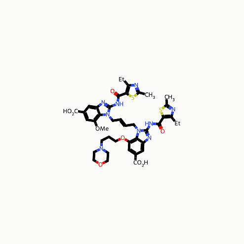 CCc1nc(C)sc1C(=O)Nc1nc2cc(C(=O)O)cc(OC)c2n1C/C=C/Cn1c(NC(=O)c2sc(C)nc2CC)nc2cc(C(=O)O)cc(OCCCN3CCOCC3)c21